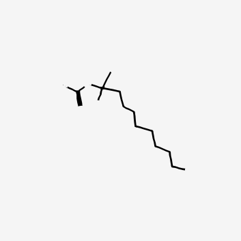 CCCCCCCCCC(C)(C)OC(N)=O